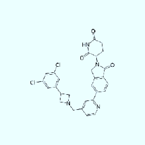 O=C1CCC(N2Cc3cc(-c4cc(CN5CC(c6cc(Cl)cc(Cl)c6)C5)ccn4)ccc3C2=O)C(=O)N1